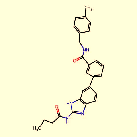 CCCC(=O)Nc1nc2ccc(-c3cccc(C(=O)NCc4ccc(C)cc4)c3)cc2[nH]1